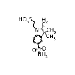 CC1=[N+](CCS(=O)(=O)O)c2ccc(S(N)(=O)=O)cc2C1(C)C